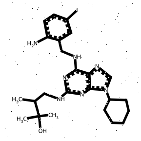 CC(CNc1nc(NCc2cc(I)ccc2N)c2ncn(C3CCCCC3)c2n1)C(C)(C)O